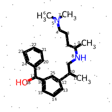 CC(CCCN(C)C)NCC(C)c1cccc(C(O)c2ccccc2)c1